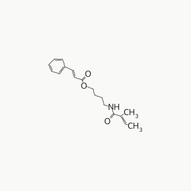 C/C=C(\C)C(=O)NCCCCOC(=O)C=Cc1ccccc1